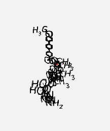 CCCOc1ccc(-c2ccc(-c3ccc(C(=O)OC[C@@H](OC(C)=O)[C@H]4O[C@@H](OP(=O)(O)OP(O)(=S)OC[C@H]5O[C@@H](n6cnc7c(N)ncnc76)[C@H](O)[C@@H]5O)[C@@H](OC(C)=O)[C@@H](OC(C)=O)[C@@H]4OC(C)=O)cc3)cc2)cc1